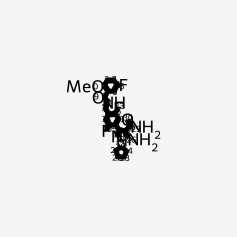 COc1ccc(F)cc1C(=O)NCc1cc(F)c(-c2nn(C3CCCC3)c(N)c2C(N)=O)cc1F